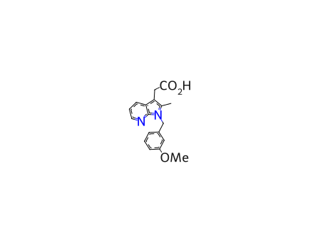 COc1cccc(Cn2c(C)c(CC(=O)O)c3cccnc32)c1